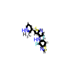 C[C@H]1NCCC[C@H]1c1cc2c(Nc3c(F)cc4scnc4c3F)ccnc2s1